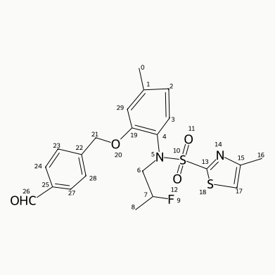 Cc1ccc(N(CC(C)F)S(=O)(=O)c2nc(C)cs2)c(OCc2ccc(C=O)cc2)c1